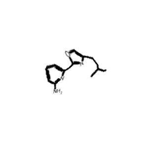 CC(C)Cc1coc(-c2cccc(N)n2)n1